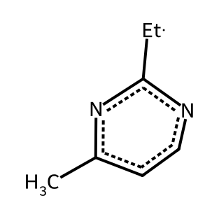 C[CH]c1nccc(C)n1